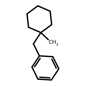 CC1(Cc2ccccc2)CCCCC1